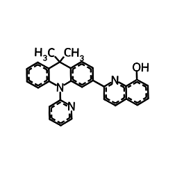 CC1(C)c2ccccc2N(c2ccccn2)c2cc(-c3ccc4cccc(O)c4n3)ccc21